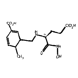 CC1C=CC(C(=O)O)=CC1CN[C@@H](CCC(=O)O)C(=O)NO